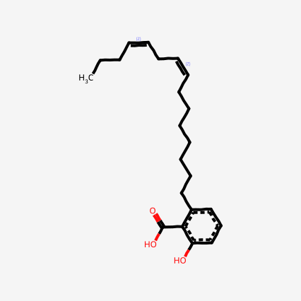 CCC/C=C\C/C=C\CCCCCCCc1cccc(O)c1C(=O)O